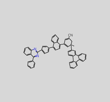 C[C@@]1(c2ccc3c4ccccc4c4ccccc4c3c2)C=C(c2ccc(-c3ccc(-c4nc(-c5ccccc5)c5ccccc5n4)cc3)c3ccccc23)C=C(C#N)C1